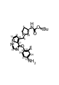 CC(C)(C)OC(=O)N[C@@H]1CCN(Cc2ccn3ncnc(Oc4ccc(N)cc4F)c23)C1